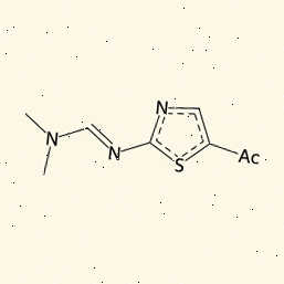 CC(=O)c1cnc(N=CN(C)C)s1